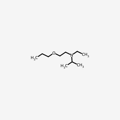 CCCOCCN(CC)C(C)C